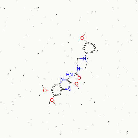 COc1cccc(N2CCN(C(=O)Nc3nc4cc(OC)c(OC)cc4nc3OC)CC2)c1